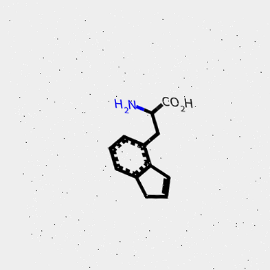 NC(Cc1cccc2c1C=CC2)C(=O)O